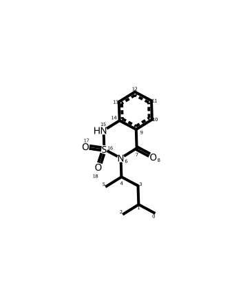 CC(C)CC(C)N1C(=O)c2ccccc2NS1(=O)=O